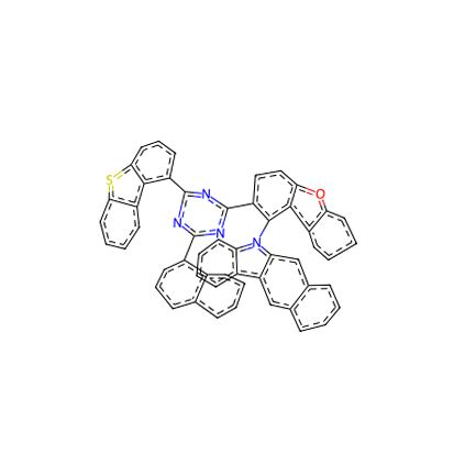 c1ccc2cc3c(cc2c1)c1ccccc1n3-c1c(-c2nc(-c3cccc4ccccc34)nc(-c3cccc4sc5ccccc5c34)n2)ccc2oc3ccccc3c12